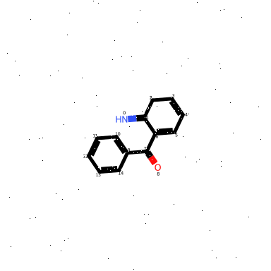 N=C1CC=CC=C1C(=O)c1ccccc1